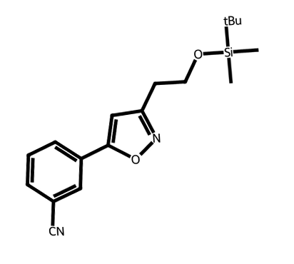 CC(C)(C)[Si](C)(C)OCCc1cc(-c2cccc(C#N)c2)on1